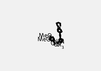 COc1ccc(S(C)(=O)=NC(=O)c2cncc(C#Cc3ccc(N4CCCCC4)cc3)c2)cc1OC